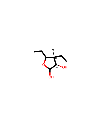 CCC1OC(O)[C@@H](O)[C@]1(C)CC